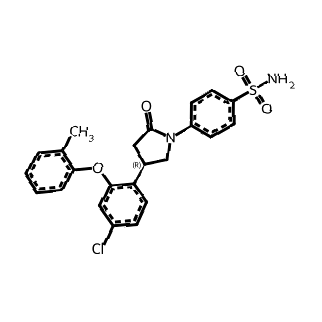 Cc1ccccc1Oc1cc(Cl)ccc1[C@H]1CC(=O)N(c2ccc(S(N)(=O)=O)cc2)C1